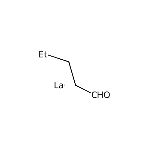 CCCCC=O.[La]